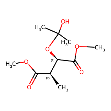 COC(=O)[C@H](C)[C@@H](OC(C)(C)O)C(=O)OC